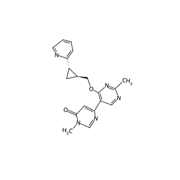 Cc1ncc(-c2cc(=O)n(C)cn2)c(OC[C@H]2C[C@@H]2c2ccccn2)n1